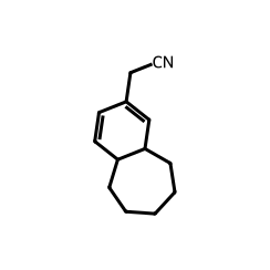 N#CCC1=CC2CCCCCC2C=C1